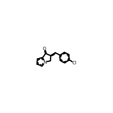 O=C1C(=Cc2ccc(Cl)cc2)Cn2cccc21